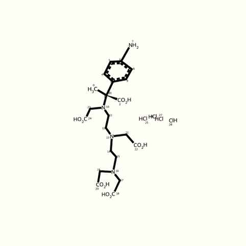 C[C@](C(=O)O)(c1ccc(N)cc1)N(CCN(CCN(CC(=O)O)CC(=O)O)CC(=O)O)CC(=O)O.Cl.Cl.Cl.Cl